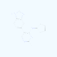 Cc1ncc(-c2ccc3[nH]cnc3c2)c(NC2CCCC2)n1